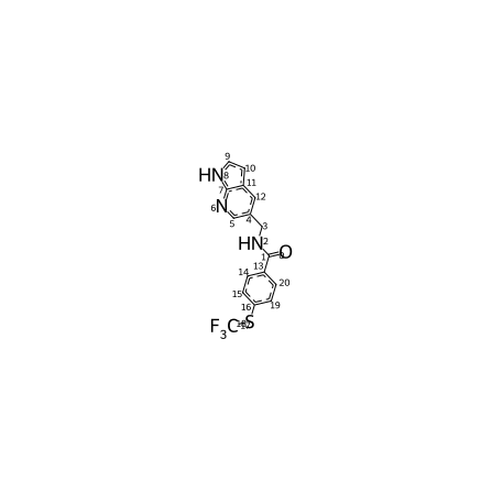 O=C(NCc1cnc2[nH]ccc2c1)c1ccc(SC(F)(F)F)cc1